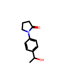 CC(O)c1ccc(N2CCCC2=O)cc1